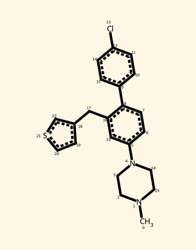 CN1CCN(c2ccc(-c3ccc(Cl)cc3)c(Cc3ccsc3)c2)CC1